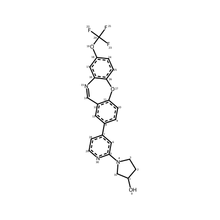 OC1CCN(c2cc(-c3ccc4c(c3)C=Nc3cc(OC(F)(F)F)ccc3O4)ccn2)C1